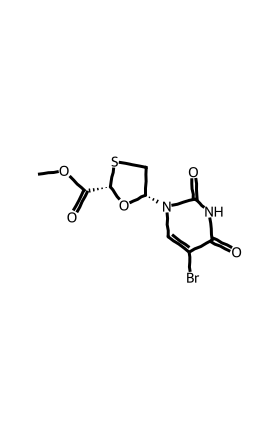 COC(=O)[C@H]1O[C@@H](n2cc(Br)c(=O)[nH]c2=O)CS1